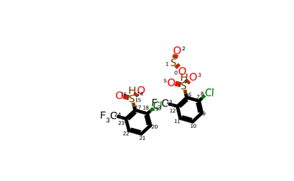 O=S=O.O=[SH](=O)c1c(Cl)cccc1C(F)(F)F.O=[SH](=O)c1c(Cl)cccc1C(F)(F)F